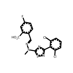 CN(/N=C/c1ccc(F)cc1C(=O)O)c1nc(-c2c(Cl)cccc2Cl)ns1